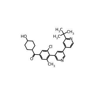 Cc1cc(C(=O)C2CCC(O)CC2)cc(Cl)c1-c1cncc(-c2ccnc(C(C)(C)C)c2)c1